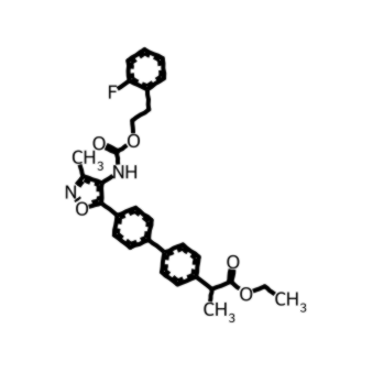 CCOC(=O)C(C)c1ccc(-c2ccc(-c3onc(C)c3NC(=O)OCCc3ccccc3F)cc2)cc1